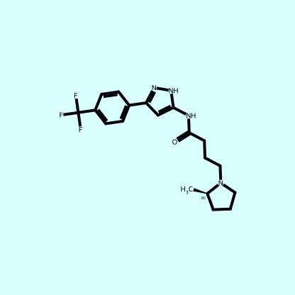 C[C@@H]1CCCN1CCCC(=O)Nc1cc(-c2ccc(C(F)(F)F)cc2)n[nH]1